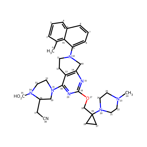 Cc1cccc2cccc(N3CCc4c(nc(OCC5(N6CCN(C)CC6)CC5)nc4N4CCN(C(=O)O)C(CC#N)C4)C3)c12